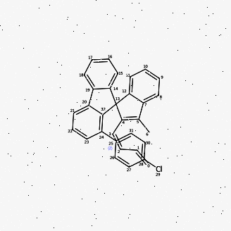 C=C/C=C\C1=C(C)c2ccccc2C12c1ccccc1-c1cccc(-c3ccc(Cl)cc3)c12